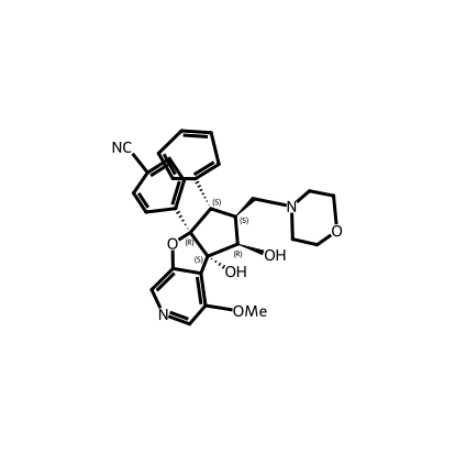 COc1cncc2c1[C@]1(O)[C@H](O)[C@H](CN3CCOCC3)[C@@H](c3ccccc3)[C@]1(c1ccc(C#N)cc1)O2